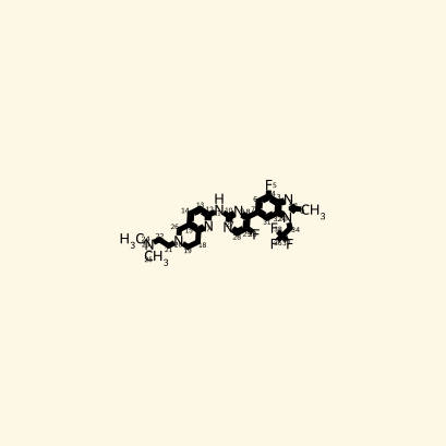 Cc1nc2c(F)cc(-c3nc(Nc4ccc5c(n4)CCN(CCN(C)C)C5)ncc3F)cc2n1CC(F)(F)F